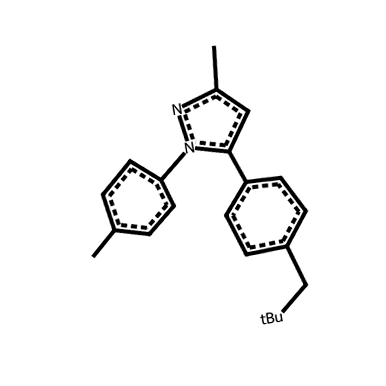 Cc1ccc(-n2nc(C)cc2-c2ccc(CC(C)(C)C)cc2)cc1